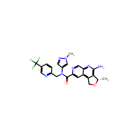 C[C@@H]1OCc2c1c(N)nc1cnc(C(=O)N(Cc3ccc(C(F)(F)F)cn3)c3cnn(C)c3)cc21